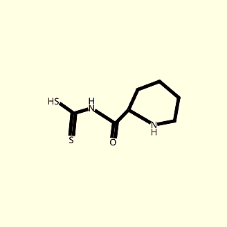 O=C(NC(=S)S)C1CCCCN1